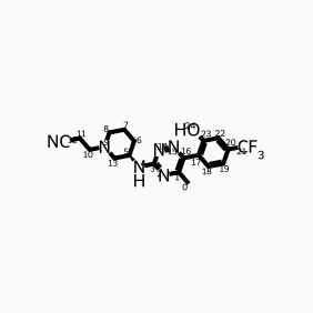 Cc1nc(N[C@@H]2CCCN(CCC#N)C2)nnc1-c1ccc(C(F)(F)F)cc1O